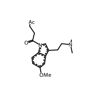 COc1ccc2c(c1)c(CCN(C)C)cn2C(=O)CCC(C)=O